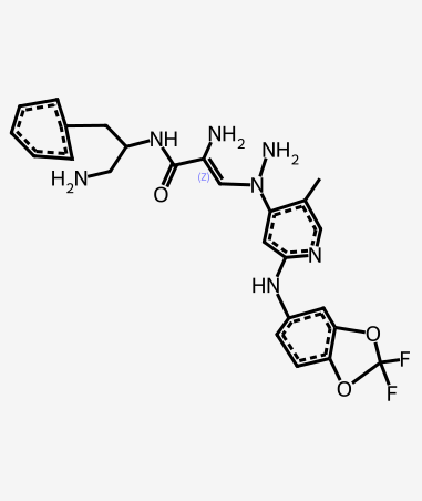 Cc1cnc(Nc2ccc3c(c2)OC(F)(F)O3)cc1N(N)/C=C(\N)C(=O)NC(CN)Cc1ccccc1